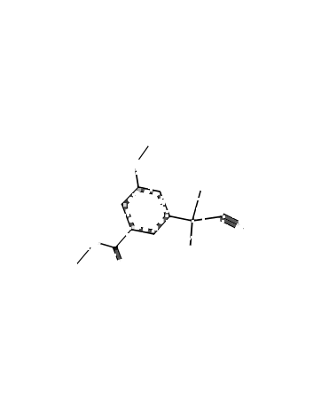 COC(=O)c1cc(OC)cc(C(C)(C)C#N)c1